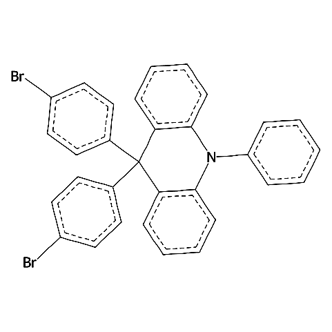 Brc1ccc(C2(c3ccc(Br)cc3)c3ccccc3N(c3ccccc3)c3ccccc32)cc1